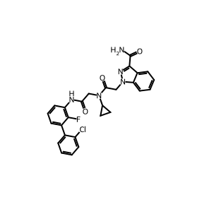 NC(=O)c1nn(CC(=O)N(CC(=O)Nc2cccc(-c3ccccc3Cl)c2F)C2CC2)c2ccccc12